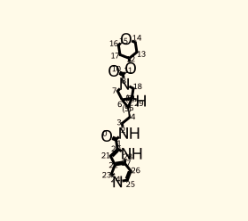 O=C(NCC[C@H]1C2CN(C(=O)OC3CCOCC3)C[C@@H]21)c1cc2cnccc2[nH]1